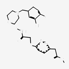 COC(=O)Cc1ccc(SCC(=O)NC[C@H]2CN(CC3C=C(Cl)C(Cl)=CC3)CCO2)nn1